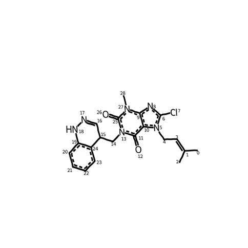 CC(C)=CCn1c(Cl)nc2c1c(=O)n(CC1C=NNc3ccccc31)c(=O)n2C